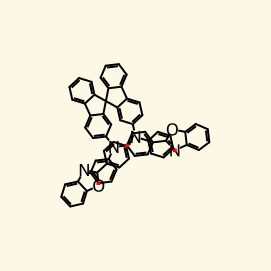 c1ccc(N(c2ccc(-c3nc4ccccc4o3)cc2)c2ccc3c(c2)C2(c4ccccc4-3)c3ccccc3-c3ccc(N(c4ccccc4)c4ccc(-c5nc6ccccc6o5)cc4)cc32)cc1